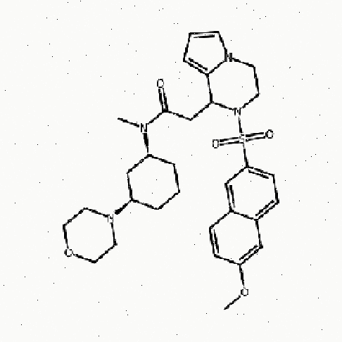 COc1ccc2cc(S(=O)(=O)N3CCn4cccc4C3CC(=O)N(C)[C@H]3CCC[C@@H](N4CCOCC4)C3)ccc2c1